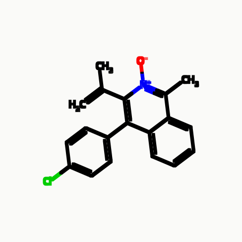 C=C(C)c1c(-c2ccc(Cl)cc2)c2ccccc2c(C)[n+]1[O-]